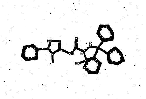 CN1C(NC(=O)[C@H](CO)NC(c2ccccc2)(c2ccccc2)c2ccccc2)=NNN1c1ccccc1